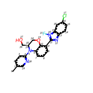 Cc1ccc(N2c3cccc(-c4nc5ccc(Cl)cc5n4F)c3OC[C@@H]2CO)nc1